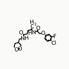 C=C(CCC(=O)NCC1CCOOC1)NC(=O)COc1ccc(Cl)c(F)c1